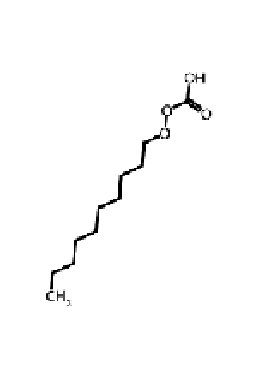 CCCCCCCCCCOOC(=O)O